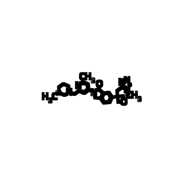 Cc1cc(N2Cc3ccc(C4(Cc5nncn5C)COC4)cc3C2=O)cc(CN2CCC[C@H](C)C2)n1